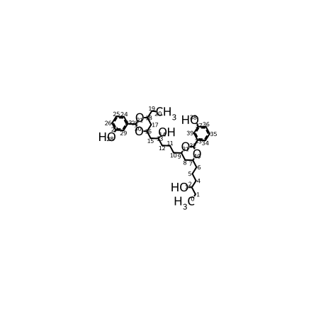 CCC(O)CCCC1CC(CCCC(O)CC2CC(CC)OC(c3cccc(O)c3)O2)OC(c2cccc(O)c2)O1